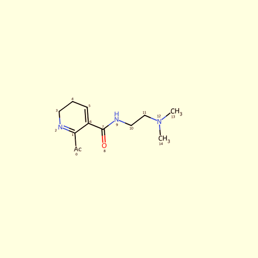 CC(=O)C1=NCCC=C1C(=O)NCCN(C)C